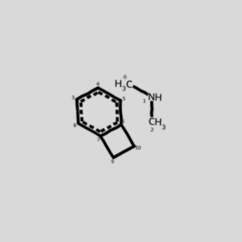 CNC.c1ccc2c(c1)CC2